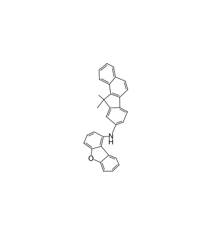 CC1(C)c2cc(Nc3cccc4oc5ccccc5c34)ccc2-c2ccc3ccccc3c21